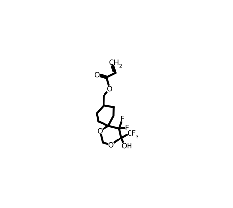 C=CC(=O)OCC1CCC2(CC1)OCOC(O)(C(F)(F)F)C2(F)F